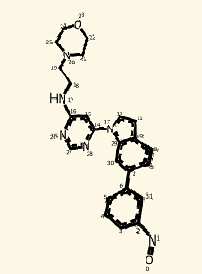 O=Nc1cccc(-c2ccc3ccn(-c4cc(NCCN5CCOCC5)ncn4)c3c2)c1